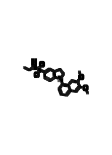 CCNS(=O)(=O)c1ccc2c(c1)CCN2c1cccc2cc(OC)c(OC)cc12